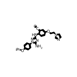 CC(C)Oc1ccc(-n2nc(NC3C=CC(OCCn4ccnc4)=CC3=C=O)nc2N)cc1